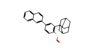 O=COc1ccc(-c2ccc3ccccc3c2)cc1C12CC3CC(CC(C3)C1)C2